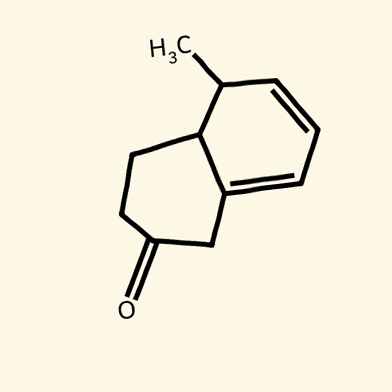 CC1C=CC=C2CC(=O)CCC21